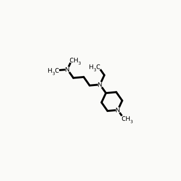 CCN(CCCN(C)C)C1CCN(C)CC1